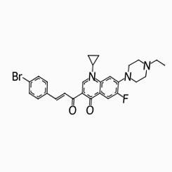 CCN1CCN(c2cc3c(cc2F)c(=O)c(C(=O)/C=C/c2ccc(Br)cc2)cn3C2CC2)CC1